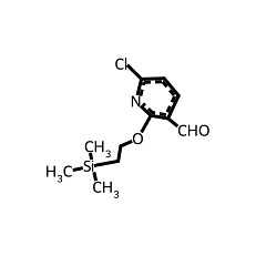 C[Si](C)(C)CCOc1nc(Cl)ccc1C=O